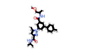 COCC(C)NC(=O)c1cc(-c2ccc(C)cc2)cc(-n2nc(C(=O)NC(C)C)cc2C)c1